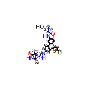 CN(CC(=O)Nc1cccc(-c2cnc(NCCN3C(=O)NC(=O)C3(C)C)nc2-c2ccc(Cl)s2)c1)C(=O)O